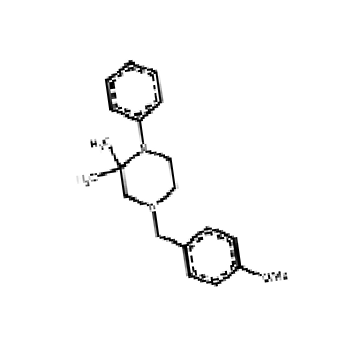 COc1ccc(CN2CCN(c3ccccc3)C(C)(C)C2)cc1